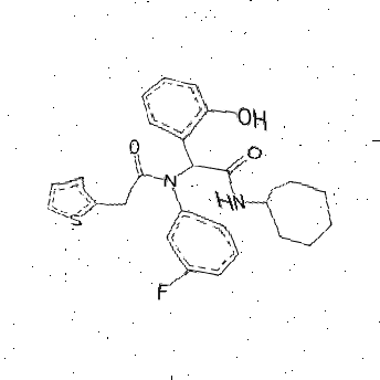 O=C(NC1CCCCC1)C(c1ccccc1O)N(C(=O)Cc1cccs1)c1cccc(F)c1